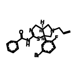 C=CCN1C[C@@H]2CN=C(NC(=O)c3ccccc3)S[C@@]2(c2cc(Br)ccc2F)C1